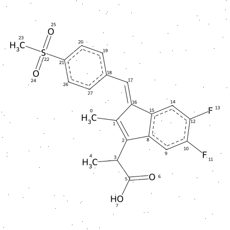 CC1=C(C(C)C(=O)O)c2cc(F)c(F)cc2C1=Cc1ccc(S(C)(=O)=O)cc1